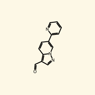 O=Cc1cnn2cc(-c3ccccn3)ccc12